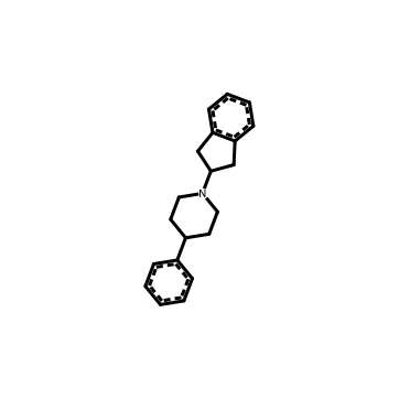 c1ccc(C2CCN(C3Cc4ccccc4C3)CC2)cc1